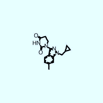 Cc1ccc2c(N3CCC(=O)NC3=O)nn(CC3CC3)c2c1